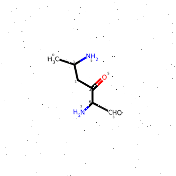 CC(N)CC(=O)C(N)[C]=O